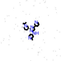 C=C(C)N1C[C@H](c2nc(Nc3ccnc(C)c3)cc(-c3cccnc3)n2)CC[C@@H]1C